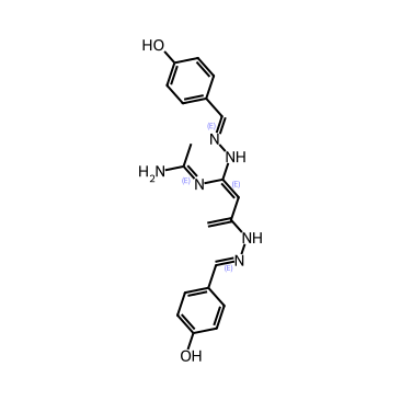 C=C(/C=C(\N=C(/C)N)N/N=C/c1ccc(O)cc1)N/N=C/c1ccc(O)cc1